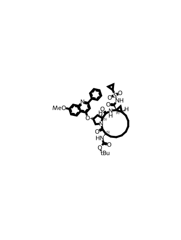 COc1ccc2c(O[C@@H]3C[C@H]4C(=O)N[C@]5(C(=O)NS(=O)(=O)C6CC6)C[C@H]5CCCCCCC[C@H](NC(=O)OC(C)(C)C)C(=O)N4C3)cc(-c3ccccc3)nc2c1